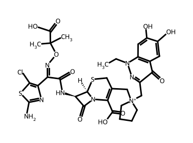 CCn1nc(C[N+]2(CC3=C(C(=O)O)N4C(=O)[C@@H](NC(=O)/C(=N\OC(C)(C)C(=O)O)c5nc(N)sc5Cl)[C@H]4SC3)CCCC2)c(=O)c2cc(O)c(O)cc21